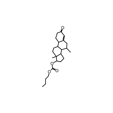 CCCCOC(=O)OC1CCC2C3C(C)CC4=CC(=O)CCC4C3CCC12C